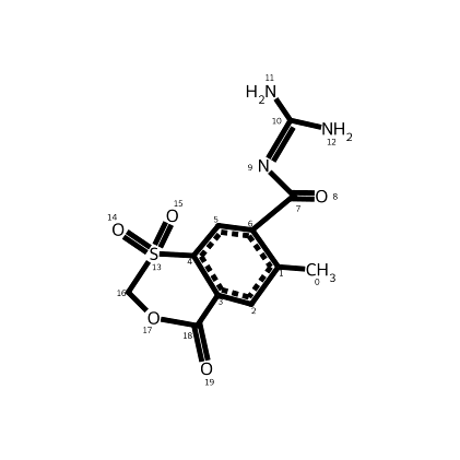 Cc1cc2c(cc1C(=O)N=C(N)N)S(=O)(=O)COC2=O